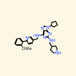 COc1ccccc1-c1ccc(CNc2nc(NCC3CCNCC3)nc3c2ncn3C2CCCC2)cn1